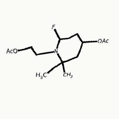 CC(=O)OCCN1C(F)CC(OC(C)=O)CC1(C)C